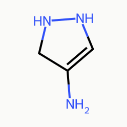 NC1=CNNC1